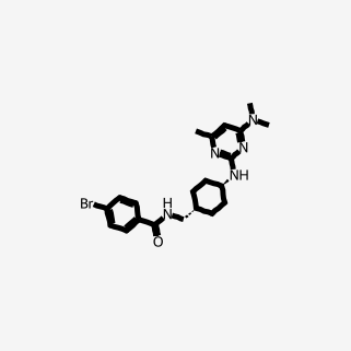 Cc1cc(N(C)C)nc(N[C@H]2CC[C@@H](CNC(=O)c3ccc(Br)cc3)CC2)n1